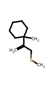 C=C(CSC)C1(C)CCCCC1